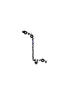 Cc1ncsc1-c1ccc(CNC(=O)[C@@H]2C[C@@H](O)CN2C(=O)[C@@H](NC(=O)COCCOCCOCCNC(=O)/C=C/C(=O)Nc2ccc(NC(=O)Nc3ccc4cc[nH]c4c3)cc2)C(C)(C)C)cc1